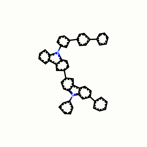 c1ccc(-c2ccc(-c3cccc(-n4c5ccccc5c5cc(-c6ccc7c(c6)c6ccc(-c8ccccc8)cc6n7-c6ccccc6)ccc54)c3)cc2)cc1